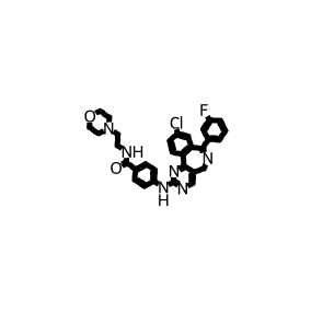 O=C(NCCN1CCOCC1)c1ccc(Nc2ncc3c(n2)-c2ccc(Cl)cc2C(c2cccc(F)c2)=NC3)cc1